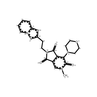 Cn1cc2c(c(N3CCOCC3)c1=O)C(=O)N(CCc1nc3ccccn3n1)C2=O